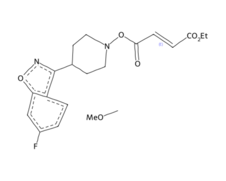 CCOC(=O)/C=C/C(=O)ON1CCC(c2noc3cc(F)ccc23)CC1.COC